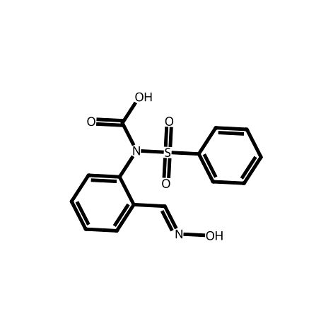 O=C(O)N(c1ccccc1C=NO)S(=O)(=O)c1ccccc1